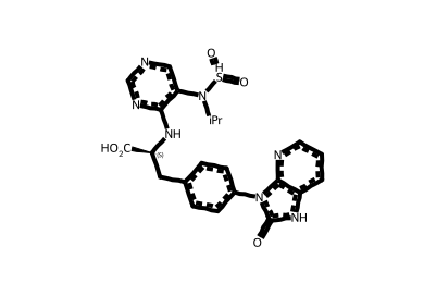 CC(C)N(c1cncnc1N[C@@H](Cc1ccc(-n2c(=O)[nH]c3cccnc32)cc1)C(=O)O)[SH](=O)=O